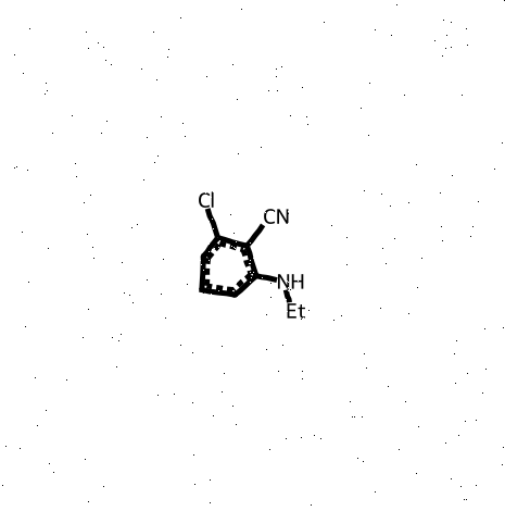 CCNc1cccc(Cl)c1C#N